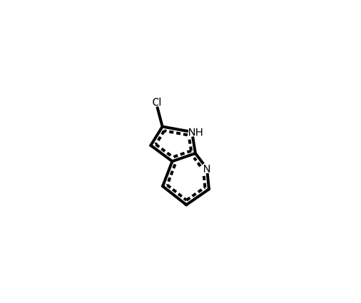 Clc1cc2cccnc2[nH]1